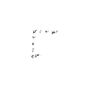 [F-].[F-].[F-].[F-].[F-].[Gd+3].[Li+].[Na+]